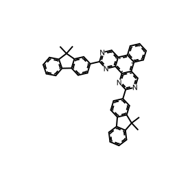 CC1(C)c2ccccc2-c2ccc(-c3ncc4c5ccccc5c5cnc(-c6ccc7c(c6)C(C)(C)c6ccccc6-7)nc5c4n3)cc21